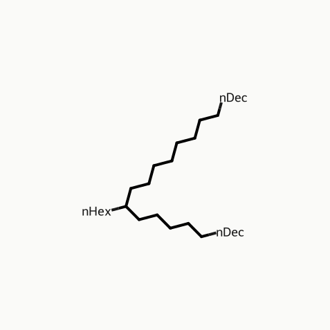 [CH2]CCCCCC(CCCCCCCCCCCCCCC)CCCCCCCCCCCCCCCCCC